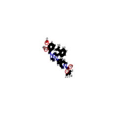 COc1cccc(CN2CCN(C3CC4(CCN(C(=O)OC(C)(C)C)CC4)C3)C(c3ccccc3C(C)C)C2)c1OC